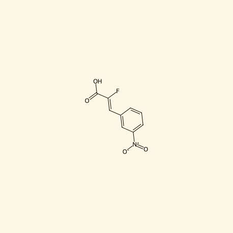 O=C(O)C(F)=Cc1cccc([N+](=O)[O-])c1